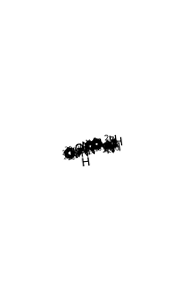 [2H]C([2H])([2H])n1cc(-c2ccc3cnc(NC(=O)CN4CCCCC4)nc3c2)cn1